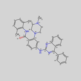 Cc1cccc(C)c1NC(=O)c1ccc(Nc2nc(-c3ccccc3)c3ccccc3n2)cc1N1CCN(C)CC1